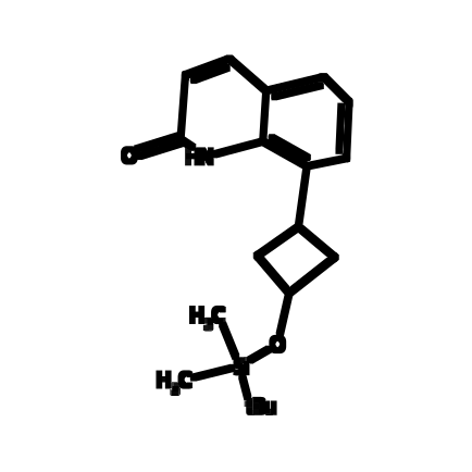 CC(C)(C)[Si](C)(C)OC1CC(c2cccc3ccc(=O)[nH]c23)C1